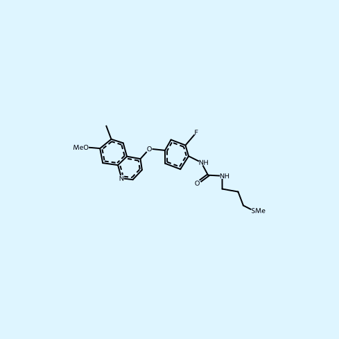 COc1cc2nccc(Oc3ccc(NC(=O)NCCCSC)c(F)c3)c2cc1C